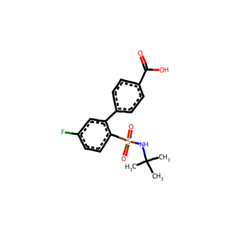 CC(C)(C)NS(=O)(=O)c1ccc(F)cc1-c1ccc(C(=O)O)cc1